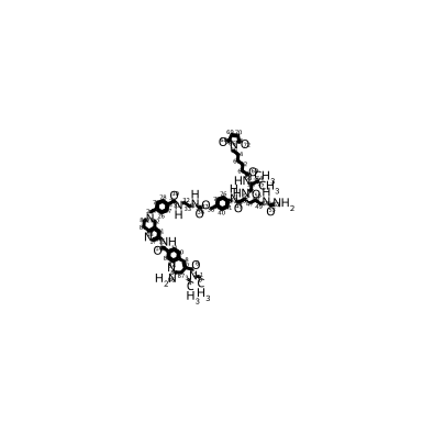 CCN(CC)C(=O)C1=Cc2ccc(C(=O)Nc3cnc4c(c3)CN(Cc3ccc(C(=O)NCCNC(=O)OCc5ccc(NC(=O)[C@H](CCCNC(N)=O)NC(=O)[C@@H](NC(=O)CCCCCN6C(=O)C=CC6=O)C(C)C)cc5)cc3)CC4)cc2N=C(N)C1